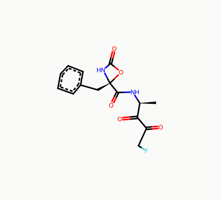 C[C@H](NC(=O)[C@]1(Cc2ccccc2)NC(=O)O1)C(=O)C(=O)CF